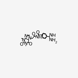 CN1C(=O)C2C(N=CN2CC(=O)NC(=O)c2ccc(C(=N)N)cc2)N(C)C1=O